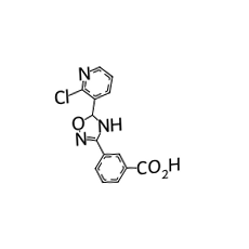 O=C(O)c1cccc(C2=NOC(c3cccnc3Cl)N2)c1